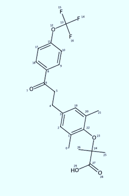 Cc1cc(CCC(=O)c2ccc(OC(F)(F)F)cc2)cc(C)c1OC(C)(C)C(=O)O